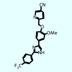 COc1cc(-c2c[nH]c(-c3ccc(C(F)(F)F)cc3)n2)ccc1OCc1ccc(C#N)cn1